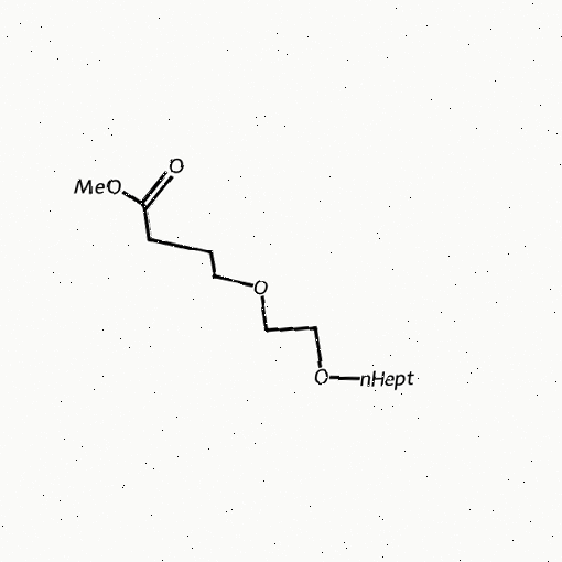 CCCCCCCOCCOCCCC(=O)OC